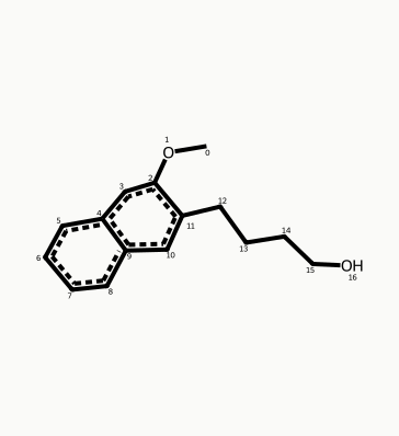 COc1cc2ccccc2cc1CCCCO